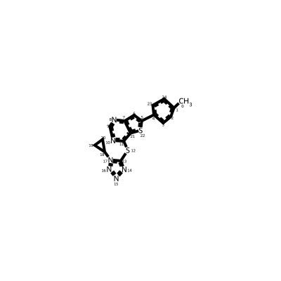 Cc1ccc(-c2cc3ncnc(Sc4nnnn4C4CC4)c3s2)cc1